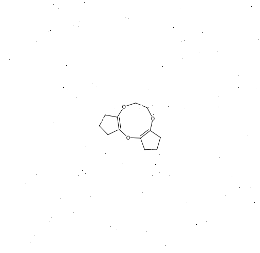 [CH]1COC2=C(CCC2)OC2=C(CCC2)O1